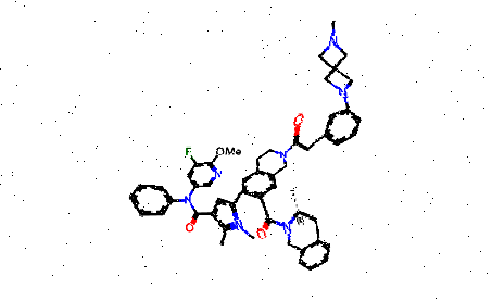 COc1ncc(N(C(=O)c2cc(-c3cc4c(cc3C(=O)N3Cc5ccccc5C[C@H]3C)CN(C(=O)Cc3cccc(N5CC6(CN(C)C6)C5)c3)CC4)n(C)c2C)c2ccccc2)cc1F